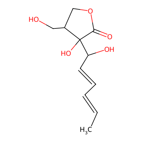 CC=CC=CC(O)C1(O)C(=O)OCC1CO